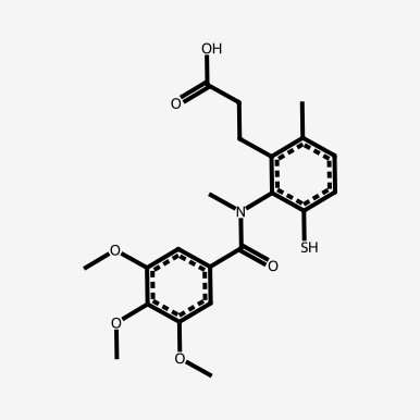 COc1cc(C(=O)N(C)c2c(S)ccc(C)c2CCC(=O)O)cc(OC)c1OC